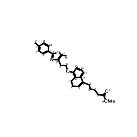 COC(=O)CCCCC1=CCCc2c(OCCc3nc(-c4ccc(C)cc4)oc3C)cccc21